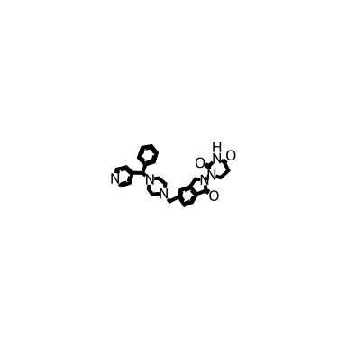 O=C1CCN(N2Cc3cc(CN4CCN(C(c5ccccc5)c5ccncc5)CC4)ccc3C2=O)C(=O)N1